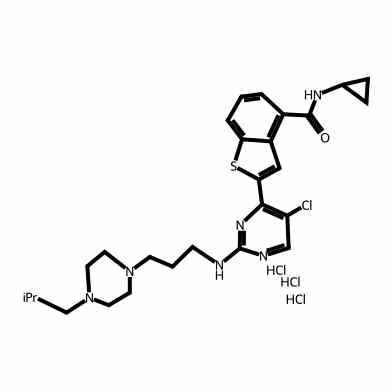 CC(C)CN1CCN(CCCNc2ncc(Cl)c(-c3cc4c(C(=O)NC5CC5)cccc4s3)n2)CC1.Cl.Cl.Cl